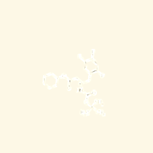 CC(C)(C)OC(=O)N[C@@H](CC(=O)OC1CCCCC1)Cc1cc(F)c(F)cc1F